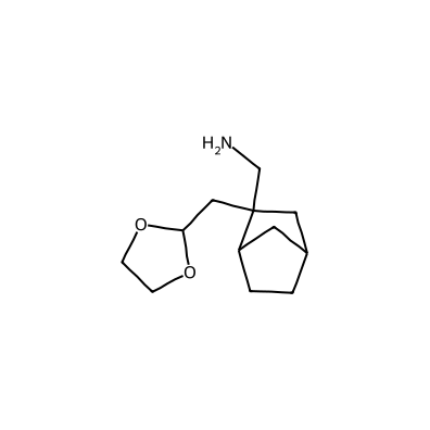 NCC1(CC2OCCO2)CC2CCC1C2